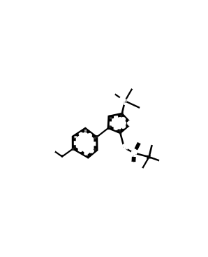 CC(C)(C)S(=O)(=O)Nc1sc([Si](C)(C)C)cc1-c1ccc(CBr)cc1